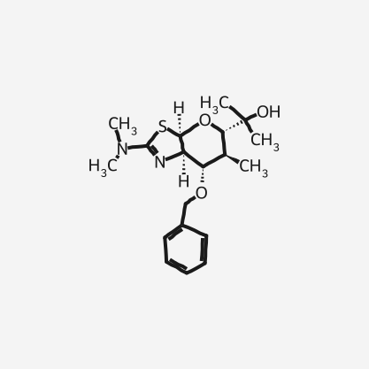 C[C@H]1[C@H](OCc2ccccc2)[C@H]2N=C(N(C)C)S[C@H]2O[C@@H]1C(C)(C)O